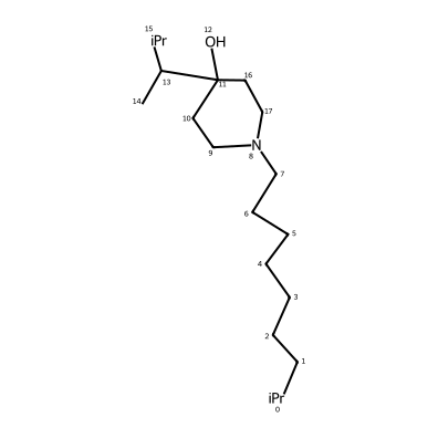 CC(C)CCCCCCCN1CCC(O)(C(C)C(C)C)CC1